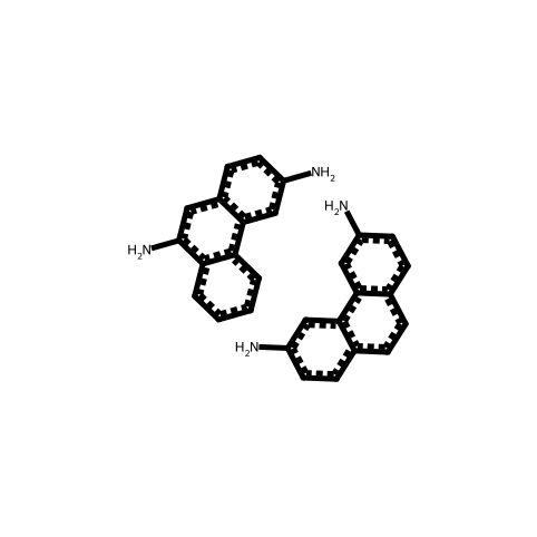 Nc1ccc2cc(N)c3ccccc3c2c1.Nc1ccc2ccc3ccc(N)cc3c2c1